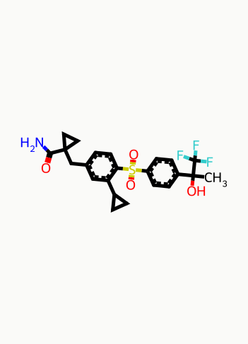 CC(O)(c1ccc(S(=O)(=O)c2ccc(CC3(C(N)=O)CC3)cc2C2CC2)cc1)C(F)(F)F